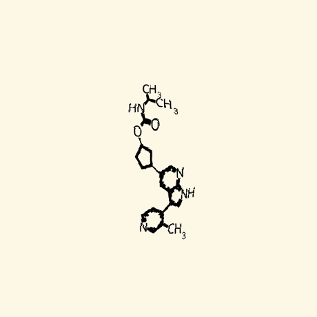 Cc1cnccc1-c1c[nH]c2ncc([C@H]3CC[C@@H](OC(=O)NC(C)C)C3)cc12